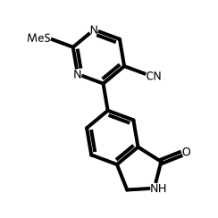 CSc1ncc(C#N)c(-c2ccc3c(c2)C(=O)NC3)n1